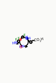 CC1(c2cccc(CCC(=O)O)c2)CCCC2(CC2)CNC(=O)CCc2c(c(F)c(F)c3[nH]ccc23)Oc2ccc(F)c(c2)-c2ncc1[nH]2